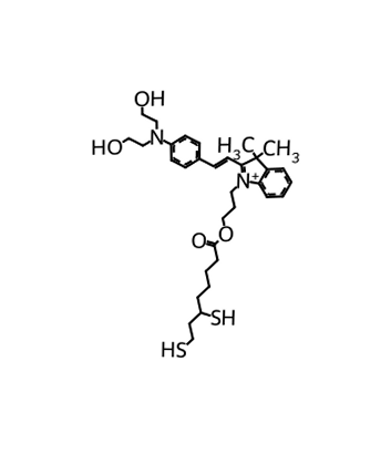 CC1(C)C(/C=C/c2ccc(N(CCO)CCO)cc2)=[N+](CCCOC(=O)CCCCC(S)CCS)c2ccccc21